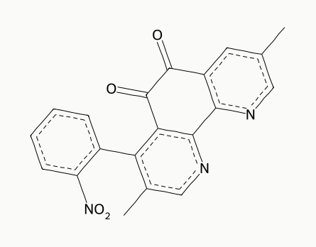 Cc1cnc2c(c1)C(=O)C(=O)c1c-2ncc(C)c1-c1ccccc1[N+](=O)[O-]